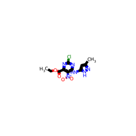 CCOC(=O)c1nc(Cl)nc(Nc2cc(C)n[nH]2)c1[N+](=O)[O-]